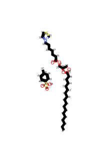 CCCCCCCCCCCCCCCCCC1OCC(COC(=O)CCCCCC[n+]2ccsc2)O1.Cc1ccc(S(=O)(=O)[O-])cc1